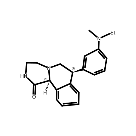 CCN(C)c1cccc([C@@H]2CN3CCNC(=O)[C@@H]3c3ccccc32)c1